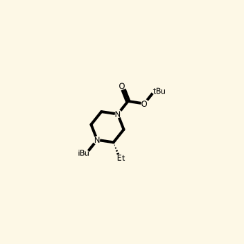 CCC(C)N1CCN(C(=O)OC(C)(C)C)C[C@@H]1CC